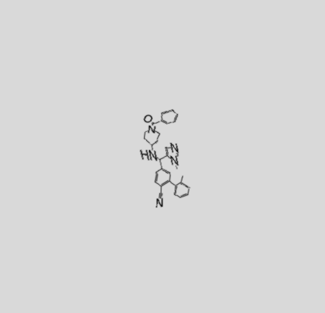 Cc1ccccc1-c1cc(C(NC2CCN(C(=O)c3ccccc3)CC2)c2cncn2C)ccc1C#N